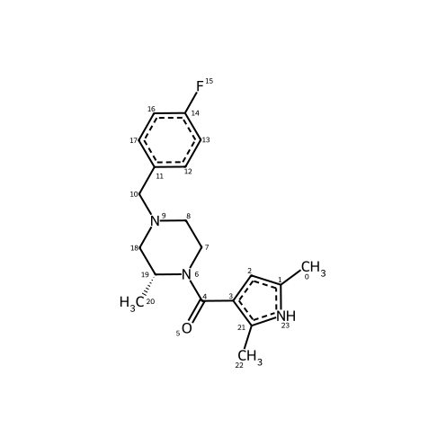 Cc1cc(C(=O)N2CCN(Cc3ccc(F)cc3)C[C@H]2C)c(C)[nH]1